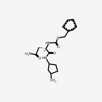 CC1CCC(NC(=O)[C@H](CC(N)=O)NC(=O)OCc2ccccc2)C1